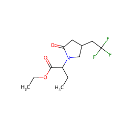 CCOC(=O)C(CC)N1CC(CC(F)(F)F)CC1=O